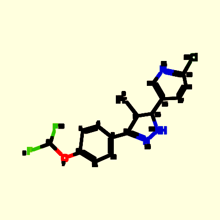 CC(C)C1C(c2ccc(OC(F)F)cc2)=NNC1c1ccc(Cl)nc1